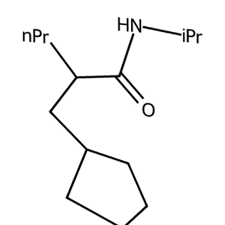 CCCC(CC1CCCC1)C(=O)NC(C)C